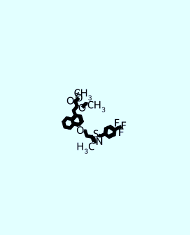 CCOC(Cc1ccc(OCCc2sc(-c3ccc(C(F)(F)F)cc3)nc2C)c2c1CCCC2)C(=O)OC